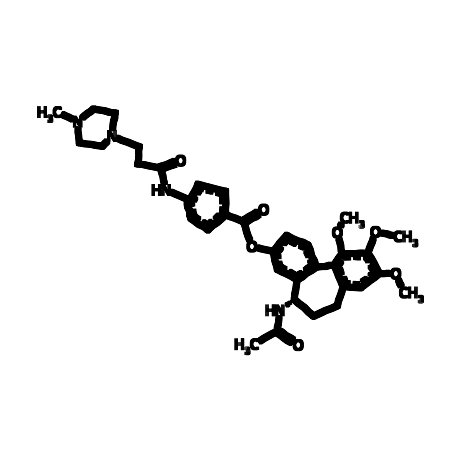 COc1cc2c(c(OC)c1OC)-c1ccc(OC(=O)c3ccc(NC(=O)CCN4CCN(C)CC4)cc3)cc1[C@@H](NC(C)=O)CC2